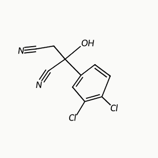 N#CCC(O)(C#N)c1ccc(Cl)c(Cl)c1